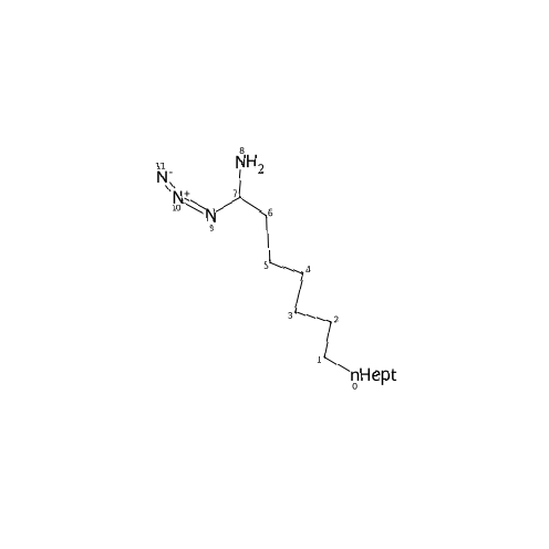 CCCCCCCCCCCCCC(N)N=[N+]=[N-]